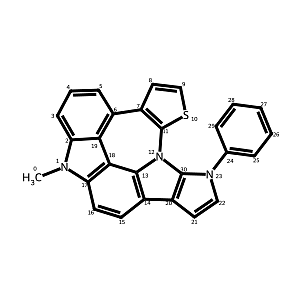 Cn1c2cccc3c4ccsc4n4c5c(ccc1c5c32)c1ccn(-c2ccccc2)c14